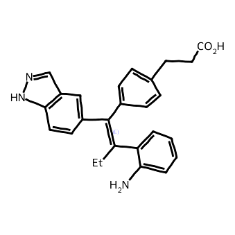 CC/C(=C(/c1ccc(CCC(=O)O)cc1)c1ccc2[nH]ncc2c1)c1ccccc1N